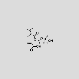 C=CC(=O)O.CC(C)=C(C)C(=O)OC(C)OP(=O)(O)O